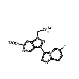 O=C([O-])c1cc2c(cn1)c(-c1cnc3ccc(F)cn13)nn2CC(F)(F)F.[Li+]